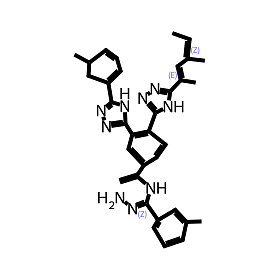 C=C(N/C(=N\N)c1cccc(C)c1)c1ccc(-c2nnc(/C(C)=C/C(C)=C\C)[nH]2)c(-c2nnc(C3=CC=CC(C)C3)[nH]2)c1